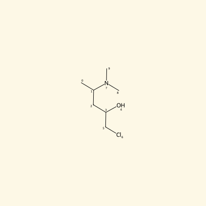 CC(CC(O)CCl)N(C)C